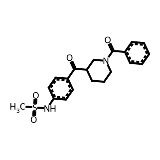 CS(=O)(=O)Nc1ccc(C(=O)C2CCCN(C(=O)c3ccccc3)C2)cc1